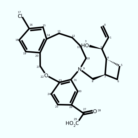 C=C[C@H](O)[C@@H]1CC[C@H]1CN1CCCCc2cc(Cl)ccc2COc2ccc(C(=O)C(=O)O)cc21